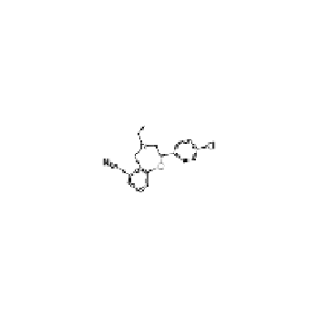 CCN1Cc2c(C#N)cccc2OC(c2ccc(Cl)cc2)C1